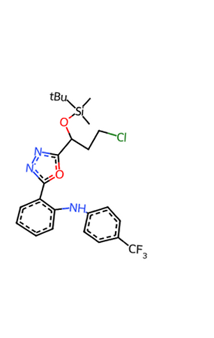 CC(C)(C)[Si](C)(C)OC(CCCl)c1nnc(-c2ccccc2Nc2ccc(C(F)(F)F)cc2)o1